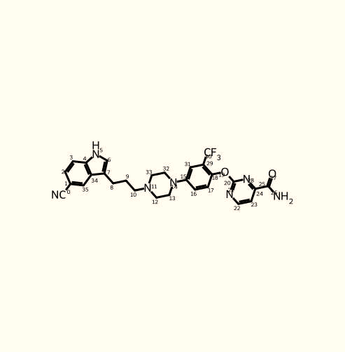 N#Cc1ccc2[nH]cc(CCCN3CCN(c4ccc(Oc5nccc(C(N)=O)n5)c(C(F)(F)F)c4)CC3)c2c1